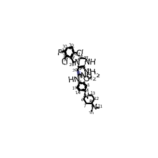 COc1cc(N2CCC(N(C)C)CC2)ccc1N/C(N)=C/C1=C(N)NCCN1Cc1c(Cl)ccc(F)c1Cl